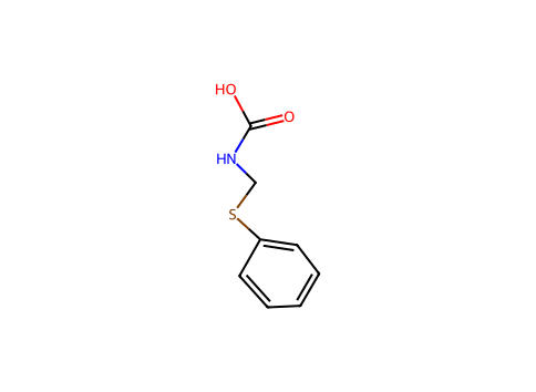 O=C(O)NCSc1ccccc1